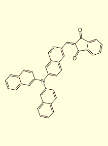 O=C1C(=Cc2ccc3cc(N(c4ccc5ccccc5c4)c4ccc5ccccc5c4)ccc3c2)C(=O)c2ccccc21